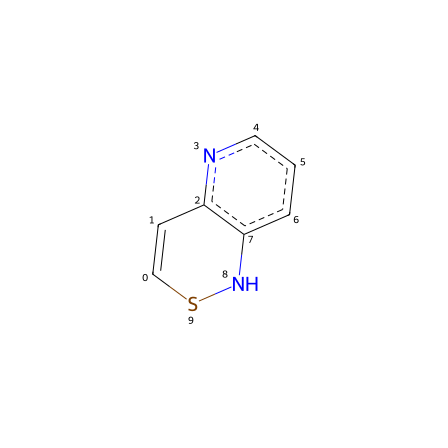 C1=Cc2ncccc2NS1